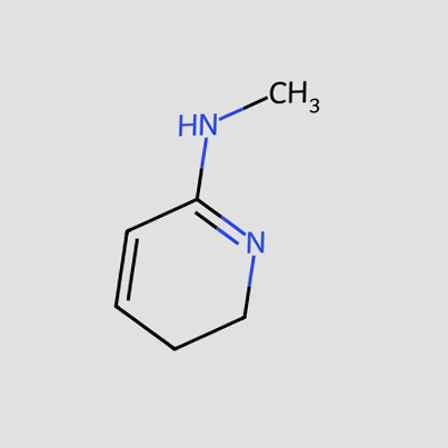 CNC1=NCCC=C1